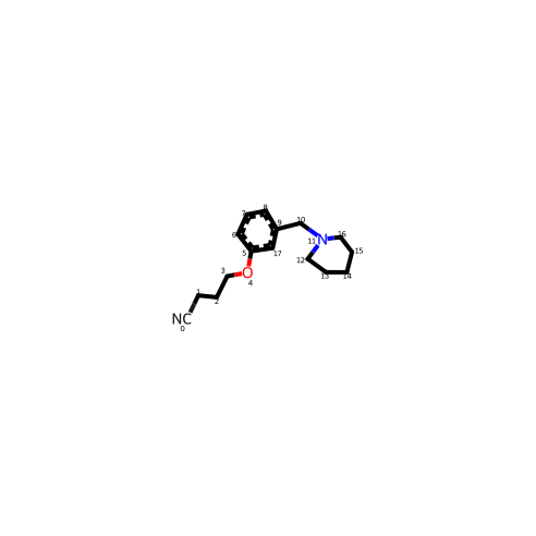 N#CCCCOc1cccc(CN2CCCCC2)c1